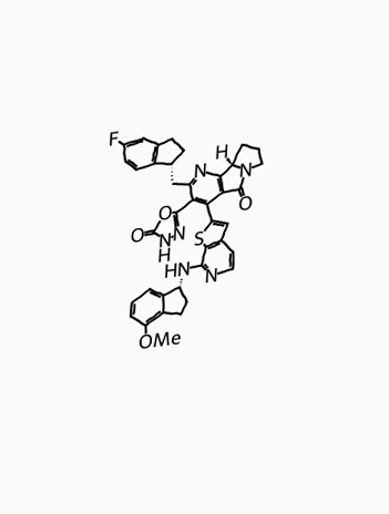 COc1cccc2c1CC[C@H]2Nc1nccc2cc(-c3c4c(nc(C[C@H]5CCc6cc(F)ccc65)c3-c3n[nH]c(=O)o3)[C@@H]3CCCN3C4=O)sc12